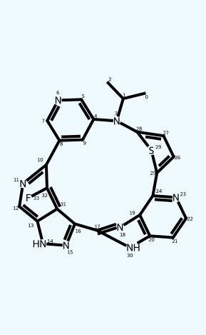 CC(C)n1c2cncc(c2)c2ncc3[nH]nc(c4nc5c(ccnc5c5ccc1s5)[nH]4)c3c2F